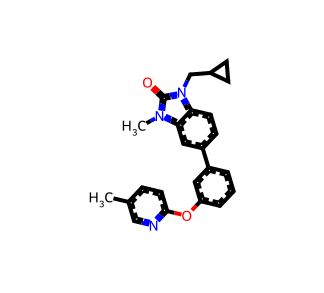 Cc1ccc(Oc2cccc(-c3ccc4c(c3)n(C)c(=O)n4CC3CC3)c2)nc1